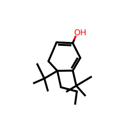 CCCC1(C(C)(C)C)CC=C(O)C=C1C(C)(C)C